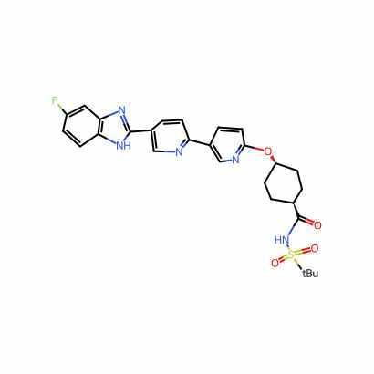 CC(C)(C)S(=O)(=O)NC(=O)[C@H]1CC[C@@H](Oc2ccc(-c3ccc(-c4nc5cc(F)ccc5[nH]4)cn3)cn2)CC1